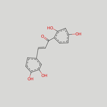 O=C(C=Cc1ccc(O)c(O)c1)c1ccc(O)cc1O